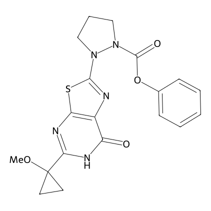 COC1(c2nc3sc(N4CCCN4C(=O)Oc4ccccc4)nc3c(=O)[nH]2)CC1